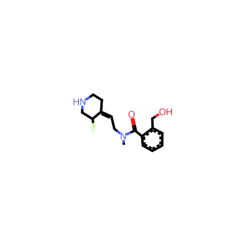 CN(CC=C1CCNCC1F)C(=O)c1ccccc1CO